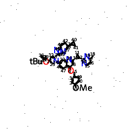 COc1ccc(COc2cc([C@H]3C[C@@H]3c3nccc(C)n3)nc3cc(N4C[C@@H](O[Si](C)(C)C(C)(C)C)C[C@@H]4c4cn5cc(C6CC6)ccc5n4)ccc23)cc1